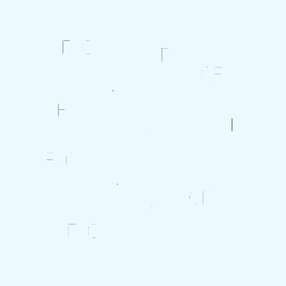 FC(F)(F)C(F)(F)[C](C(F)(C(F)(F)F)C(F)(F)F)C(C(F)(F)F)(C(F)(F)F)C(F)(F)F